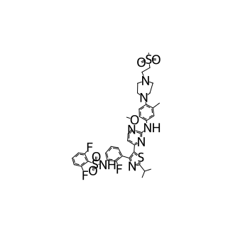 COc1cc(N2CCN(CCS(C)(=O)=O)CC2)c(C)cc1Nc1nccc(-c2sc(C(C)C)nc2-c2cccc(NS(=O)(=O)c3c(F)cccc3F)c2F)n1